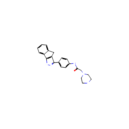 O=C(CN1CCNCC1)Nc1ccc(-c2n[nH]c3c2Cc2ccccc2-3)cc1